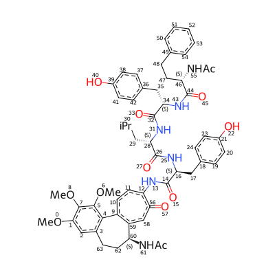 COc1cc2c(c(OC)c1OC)-c1ccc(NC(=O)[C@H](Cc3ccc(O)cc3)NC(=O)[C@H](CC(C)C)NC(=O)[C@H](Cc3ccc(O)cc3)NC(=O)[C@H](CCc3ccccc3)NC(C)=O)c(=O)cc1[C@@H](NC(C)=O)CC2